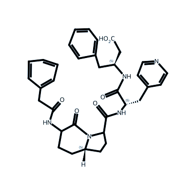 O=C(O)C[C@H](Cc1ccccc1)NC(=O)[C@H](Cc1ccncc1)NC(=O)C1CC[C@@H]2CCC(NC(=O)Cc3ccccc3)C(=O)N12